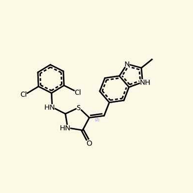 Cc1nc2ccc(/C=C3\SC(Nc4c(Cl)cccc4Cl)NC3=O)cc2[nH]1